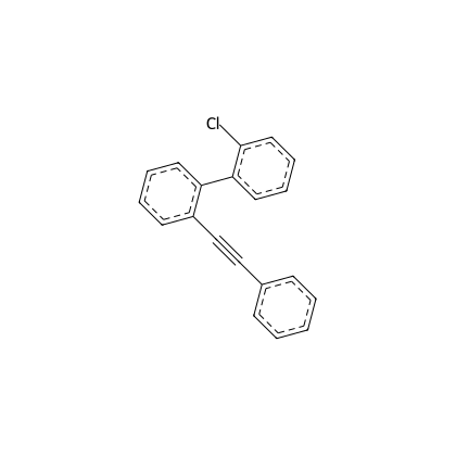 Clc1ccccc1-c1ccccc1C#Cc1ccccc1